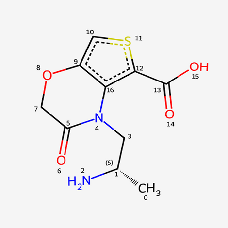 C[C@H](N)CN1C(=O)COc2csc(C(=O)O)c21